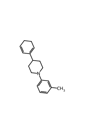 Cc1cccc(N2CCC(C3=CCCC=C3)CC2)c1